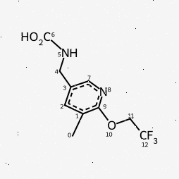 Cc1cc(CNC(=O)O)cnc1OCC(F)(F)F